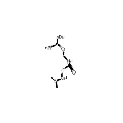 CCCCC(CCC)OCNC(=O)ONN(C)C